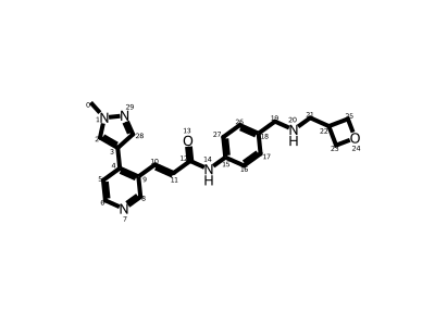 Cn1cc(-c2ccncc2C=CC(=O)Nc2ccc(CNCC3COC3)cc2)cn1